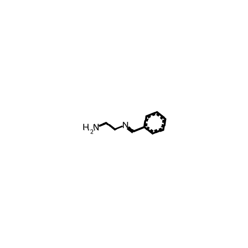 NCCN=Cc1ccccc1